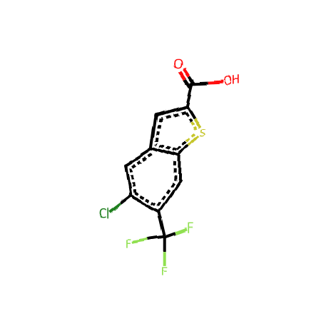 O=C(O)c1cc2cc(Cl)c(C(F)(F)F)cc2s1